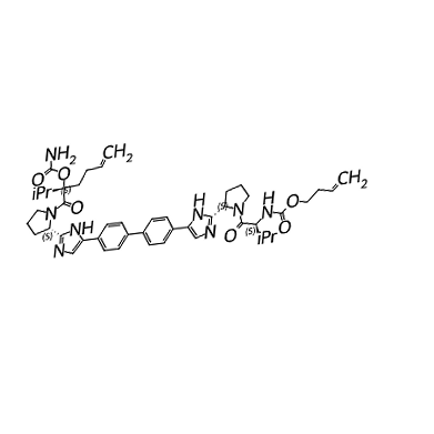 C=CCCOC(=O)N[C@H](C(=O)N1CCC[C@H]1c1ncc(-c2ccc(-c3ccc(-c4cnc([C@@H]5CCCN5C(=O)[C@@](CCC=C)(OC(N)=O)C(C)C)[nH]4)cc3)cc2)[nH]1)C(C)C